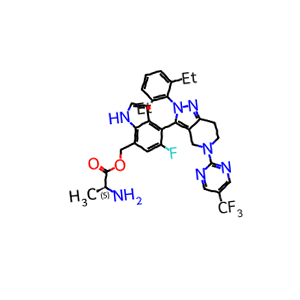 CCc1cccc(CC)c1-n1nc2c(c1-c1c(F)cc(COC(=O)[C@H](C)N)c3[nH]ccc13)CN(c1ncc(C(F)(F)F)cn1)CC2